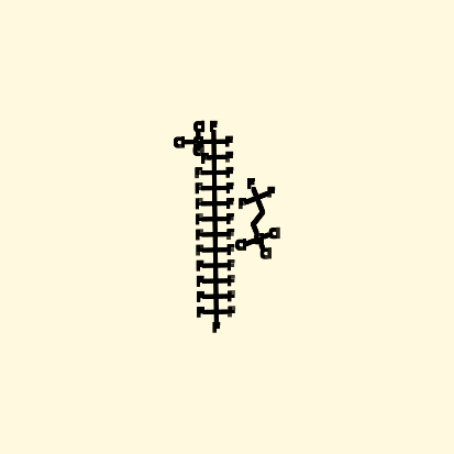 FC(F)(F)C(F)(F)C(F)(F)C(F)(F)C(F)(F)C(F)(F)C(F)(F)C(F)(F)C(F)(F)C(F)(F)C(F)(F)C(F)(F)[Si](Cl)(Cl)Cl.FC(F)(F)CC[Si](Cl)(Cl)Cl